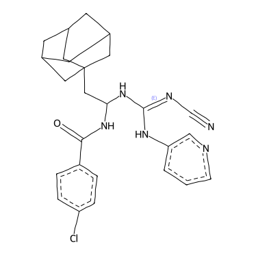 N#C/N=C(\Nc1cccnc1)NC(CC12CC3CC(CC(C3)C1)C2)NC(=O)c1ccc(Cl)cc1